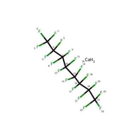 FC(F)(F)C(F)(F)C(F)(F)C(F)(F)C(F)(F)C(F)(F)C(F)(F)C(F)(F)F.[CaH2]